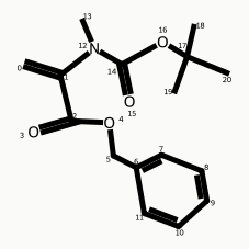 C=C(C(=O)OCc1ccccc1)N(C)C(=O)OC(C)(C)C